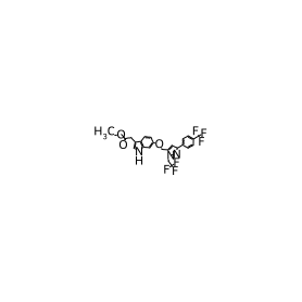 CCOC(=O)Cc1c[nH]c2cc(OCc3cc(-c4ccc(C(F)(F)F)cc4)nn3CC(F)(F)F)ccc12